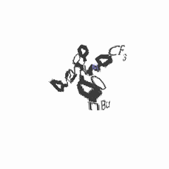 CCCCc1ccc(CN(C(=O)/C=C/c2ccc(C(F)(F)F)cc2)[C@@H](Cc2ccccc2)C(=O)N2CCN(Cc3ccccc3)CC2)cc1